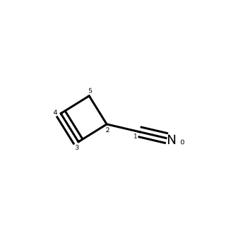 N#CC1C#CC1